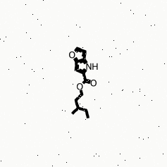 CCC(C)CCOC(=O)c1cc2occc2[nH]1